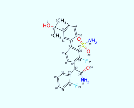 CC(C)(O)c1cccc(-c2ccc(C(C(N)=O)c3ccccc3F)c(F)c2S(N)(=O)=O)c1